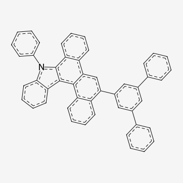 c1ccc(-c2cc(-c3ccccc3)cc(-c3cc4c5ccccc5c5c(c6ccccc6n5-c5ccccc5)c4c4ccccc34)c2)cc1